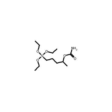 CCO[Si](CCCC(C)OC(N)=O)(OCC)OCC